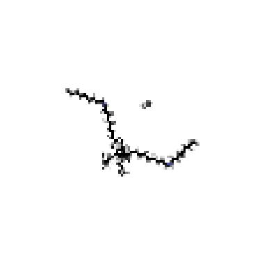 CCCCCCCC/C=C\CCCCCCCC(=O)OC(C(NCCO)NCCO)C(C)(OC(=O)CCCCCCC/C=C\CCCCCCCC)C(C)(C)C.I.I